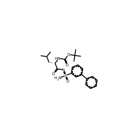 CC(C)C[C@H](NC(=O)OC(C)(C)C)C(=O)N=S(N)(=O)c1cccc(-c2ccccc2)c1